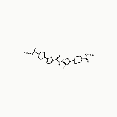 CC(C)(C)OC(=O)N1CC=C(c2ccc(NC(=O)c3ccc(C4=CCN(C(=O)OC(C)(C)C)CC4)s3)c(F)c2)CC1